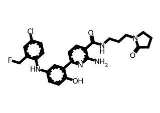 Nc1nc(-c2cc(Nc3ccc(Cl)cc3CF)ccc2O)ccc1C(=O)NCCCN1CCCC1=O